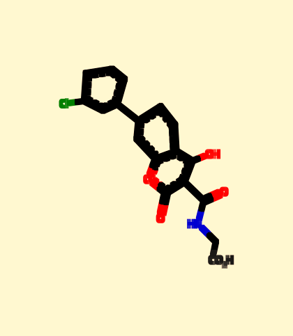 O=C(O)CNC(=O)c1c(O)c2ccc(-c3cccc(Cl)c3)cc2oc1=O